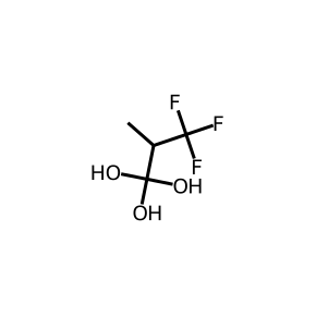 CC(C(O)(O)O)C(F)(F)F